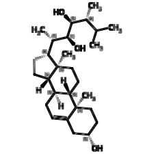 CC(C)[C@@H](C)[C@H](O)[C@@H](O)[C@@H](C)[C@H]1CC[C@H]2[C@@H]3CC=C4C[C@@H](O)CC[C@]4(C)[C@H]3CC[C@]12C